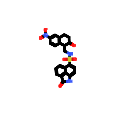 O=C1Nc2ccc(S(=O)(=O)NCC3C(=O)CCc4cc([N+](=O)[O-])ccc43)c3cccc1c23